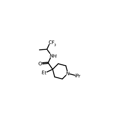 CCC1(C(=O)NC(C)C(F)(F)F)CCN(C(C)C)CC1